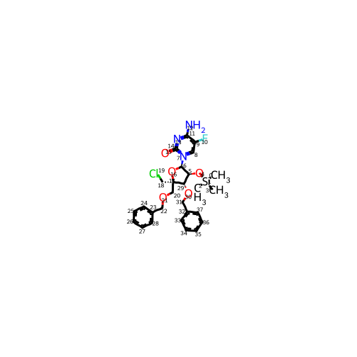 C[Si](C)(C)O[C@@H]1[C@H](n2cc(F)c(N)nc2=O)O[C@](CCl)(COCc2ccccc2)[C@H]1OCc1ccccc1